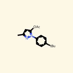 CC(=O)Oc1cc(C)nn1-c1ccc(C(C)(C)C)cc1